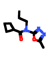 CCCN(C(=O)C1CCC1)c1nnc(C)o1